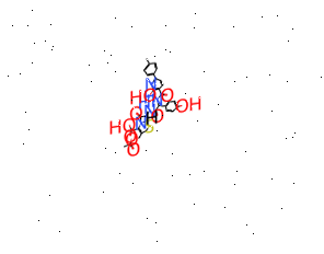 CC(=O)OCC1=C(C(=O)O)N2C(=O)C(NC(=O)C(NC(=O)c3ccc(-c4ccc(C)cc4)nc3O)c3ccc(O)cc3)[C@@H]2SC1